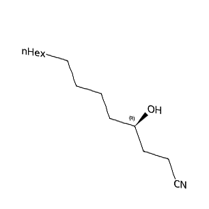 CCCCCCCCCC[C@@H](O)CCC#N